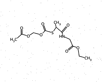 CCOC(=O)CNC(=O)C(C)SC(=O)OCOC(C)=O